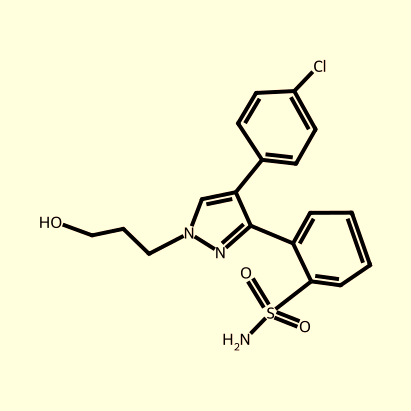 NS(=O)(=O)c1ccccc1-c1nn(CCCO)cc1-c1ccc(Cl)cc1